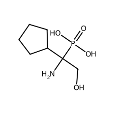 NC(CO)(C1CCCC1)P(=O)(O)O